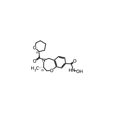 C[C@H]1COc2cc(C(=O)NO)ccc2CN1C(=O)[C@@H]1CCCCO1